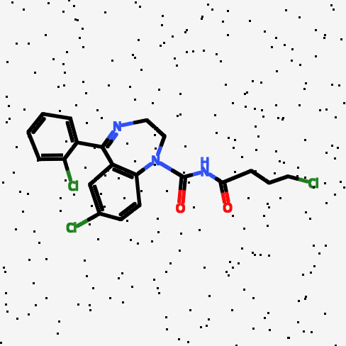 O=C(CCCCl)NC(=O)N1CCN=C(c2ccccc2Cl)c2cc(Cl)ccc21